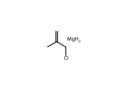 C=C(C)CCl.[MgH2]